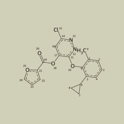 Cc1cccc(C2CC2)c1Oc1nnc(Cl)cc1OC(=O)c1ccco1